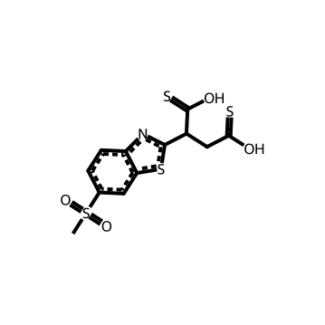 CS(=O)(=O)c1ccc2nc(C(CC(O)=S)C(O)=S)sc2c1